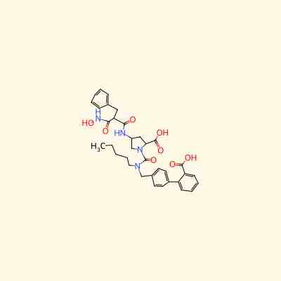 CCCCCN(Cc1ccc(-c2ccccc2C(=O)O)cc1)C(=O)N1CC(NC(=O)C(Cc2ccccc2)C(=O)NO)CC1C(=O)O